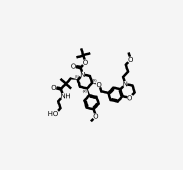 COCCCN1CCOc2ccc(CO[C@H]3CN(C(=O)OC(C)(C)C)[C@H](CC(C)(C)C(=O)NCCO)C[C@@H]3c3ccc(OC)cc3)cc21